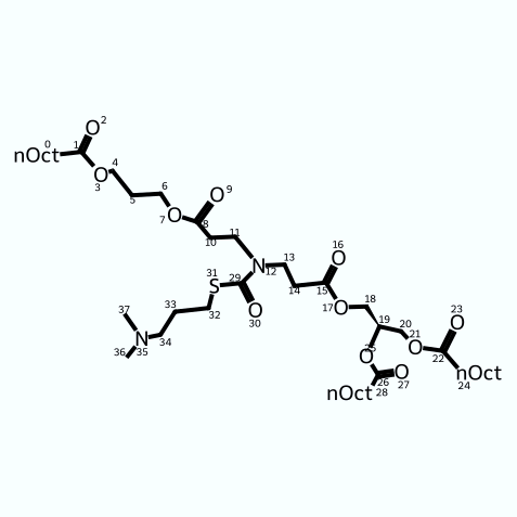 CCCCCCCCC(=O)OCCCOC(=O)CCN(CCC(=O)OC[C@@H](COC(=O)CCCCCCCC)OC(=O)CCCCCCCC)C(=O)SCCCN(C)C